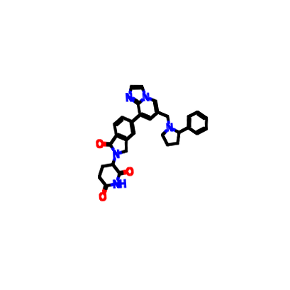 O=C1CCC(N2Cc3cc(-c4cc(CN5CCCC5c5ccccc5)cn5ccnc45)ccc3C2=O)C(=O)N1